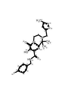 Cc1cc(CN2CCn3c(nc(C(=O)NCc4ccc(F)cc4)c(O)c3=O)C2(C)C)on1